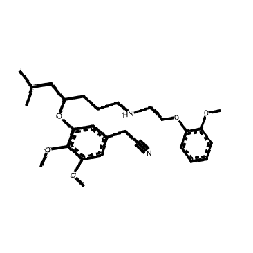 COc1ccccc1OCCNCCCC(CC(C)C)Oc1cc(CC#N)cc(OC)c1OC